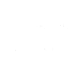 C=C/C=C(\C(C)=C/CS(=O)(=O)O)S(=O)(=O)O